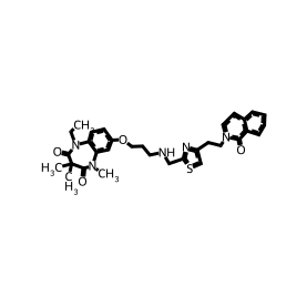 CCN1C(=O)C(C)(C)C(=O)N(C)c2cc(OCCCNCc3nc(CCn4ccc5ccccc5c4=O)cs3)ccc21